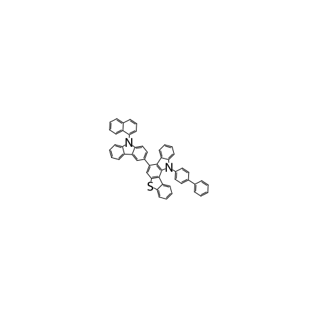 c1ccc(-c2ccc(-n3c4ccccc4c4c(-c5ccc6c(c5)c5ccccc5n6-c5cccc6ccccc56)cc5sc6ccccc6c5c43)cc2)cc1